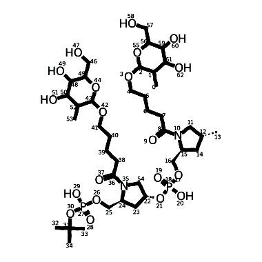 CC1C(OCCCCC(=O)N2C[C@H](C)C[C@H]2COP(=O)(O)O[C@@H]2C[C@@H](COP(=O)(O)OC(C)(C)C)N(C(=O)CCCCOC3OC(CO)C(O)C(O)C3C)C2)OC(CO)C(O)C1O